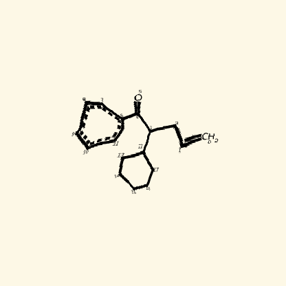 C=CCC(C(=O)c1ccccc1)C1CCCCC1